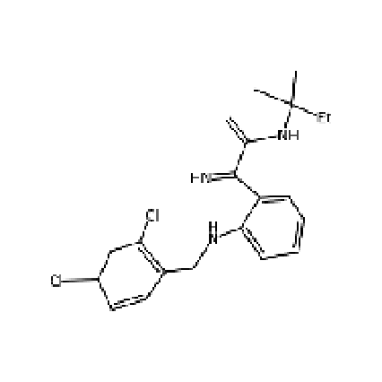 C=C(NC(C)(C)CC)C(=N)c1ccccc1NCC1=C(Cl)CC(Cl)C=C1